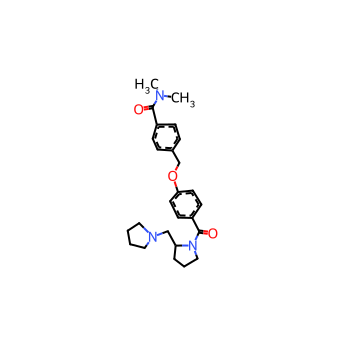 CN(C)C(=O)c1ccc(COc2ccc(C(=O)N3CCCC3CN3CCCC3)cc2)cc1